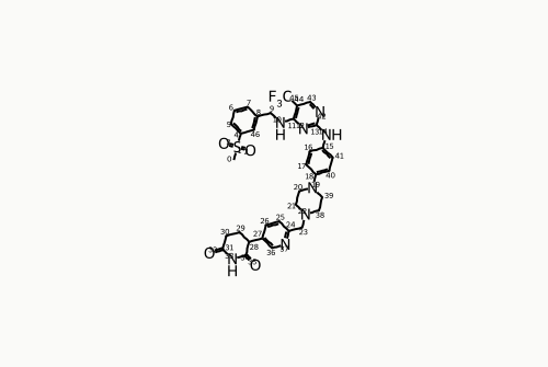 CS(=O)(=O)c1cccc(CNc2nc(Nc3ccc(N4CCN(Cc5ccc(C6CCC(=O)NC6=O)cn5)CC4)cc3)ncc2C(F)(F)F)c1